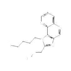 CCOCc1nc2cnc3cccnc3c2n1CCCCCl